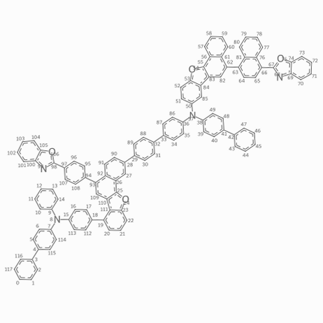 c1ccc(-c2ccc(N(c3ccccc3)c3ccc(-c4cccc5oc6c7cc(-c8ccc(-c9ccc(N(c%10ccc(-c%11ccccc%11)cc%10)c%10ccc%11oc%12c%13ccccc%13c(-c%13ccc(-c%14nc%15ccccc%15o%14)c%14ccccc%13%14)cc%12c%11c%10)cc9)cc8)ccc7c(-c7ccc(-c8nc9ccccc9o8)cc7)cc6c45)cc3)cc2)cc1